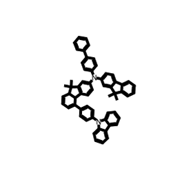 CC1(C)c2ccccc2-c2ccc(N(c3ccc(-c4ccccc4)cc3)c3ccc4c(c3)C(C)(C)C3C=CC=C(c5ccc(-n6c7ccccc7c7ccccc76)cc5)C43)cc21